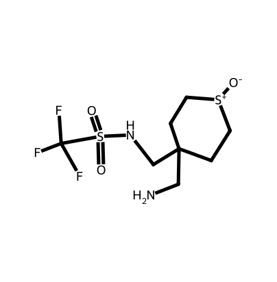 NCC1(CNS(=O)(=O)C(F)(F)F)CC[S+]([O-])CC1